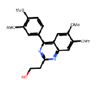 COc1ccc(-c2nc(CCO)nc3cc(OC)c(OC)cc23)cc1OC